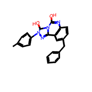 Cc1ccc(N2N=C3c4cc(Cc5ccccc5)ccc4N=C(O)N3C2O)cc1